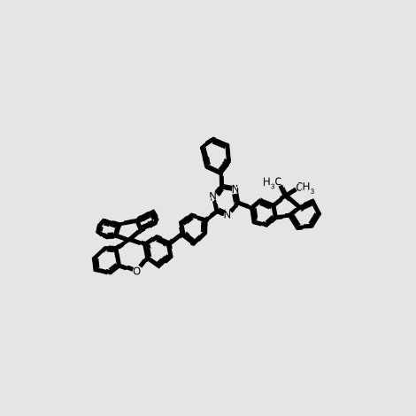 CC1(C)c2ccccc2-c2ccc(-c3nc(-c4ccccc4)nc(-c4ccc(-c5ccc6c(c5)C5(c7ccccc7O6)c6ccccc6-c6ccccc65)cc4)n3)cc21